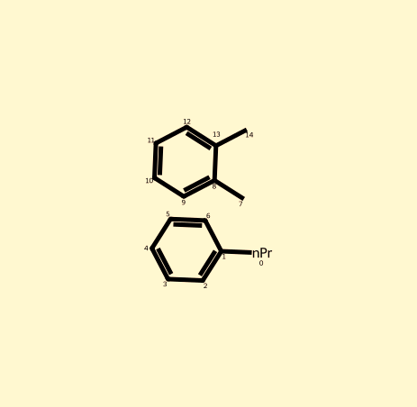 CCCc1ccccc1.Cc1ccccc1C